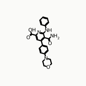 NC(=O)c1c(-c2ccc(N3CCOCC3)cc2)cc(C(=O)O)nc1Nc1ccccc1